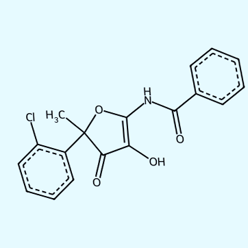 CC1(c2ccccc2Cl)OC(NC(=O)c2ccccc2)=C(O)C1=O